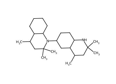 CC1CC(C)(C)NC2CCC(N3C4CCCCC4C(C)CC3(C)C)CC12